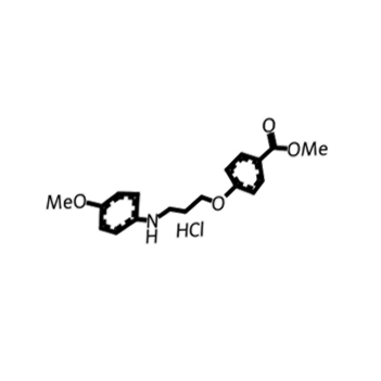 COC(=O)c1ccc(OCCCNc2ccc(OC)cc2)cc1.Cl